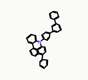 c1ccc(-c2ccc(N(c3ccc(-c4cccc(-c5ccccc5)c4)cc3)c3ccccc3-c3ccccc3)cc2)cc1